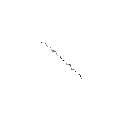 [CH2]CCCC=CCC=CCC=CCCCCC